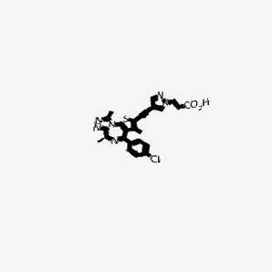 Cc1c(C#Cc2cnn(CCC(=O)O)c2)sc2c1C(c1ccc(Cl)cc1)=N[C@@H](C)c1nnc(C)n1-2